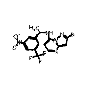 C[C@@H](Nc1ccnc2cc(Br)nn12)c1cc([N+](=O)[O-])cc(C(F)(F)F)c1